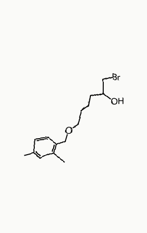 Cc1ccc(COCCCCC(O)CBr)c(C)c1